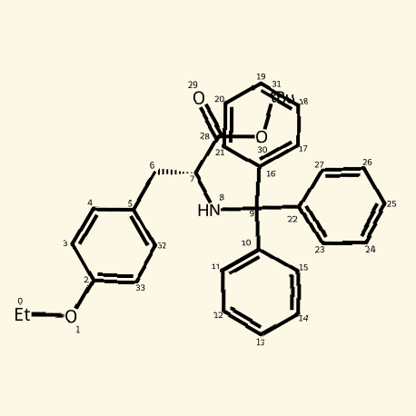 CCOc1ccc(C[C@@H](NC(c2ccccc2)(c2ccccc2)c2ccccc2)C(=O)OC(C)(C)C)cc1